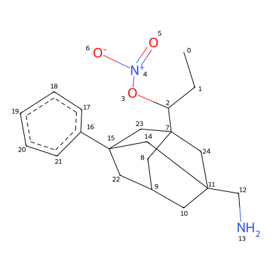 CCC(O[N+](=O)[O-])C12CC3CC(CN)(CC(c4ccccc4)(C3)C1)C2